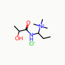 CCC(NC(=O)C(C)O)[N+](C)(C)C.[Cl-]